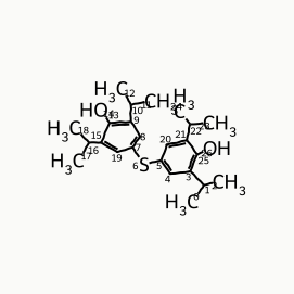 CC(C)c1cc(Sc2cc(C(C)C)c(O)c(C(C)C)c2)cc(C(C)C)c1O